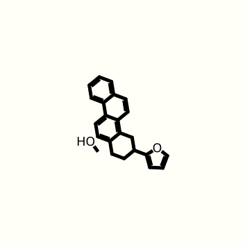 CO.c1coc(C2CCc3ccc4c(ccc5ccccc54)c3C2)c1